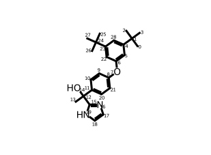 CC(C)(C)c1cc(Oc2ccc(C(C)(O)c3ncc[nH]3)cc2)cc(C(C)(C)C)c1